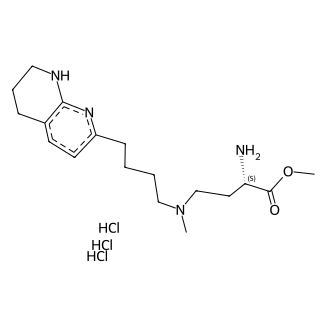 COC(=O)[C@@H](N)CCN(C)CCCCc1ccc2c(n1)NCCC2.Cl.Cl.Cl